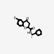 C[C@H](NC(=O)C1CC(=O)c2cc(F)ccc2O1)c1ccccc1